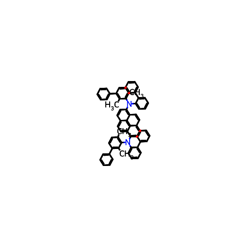 Cc1ccc(-c2ccccc2)c(C)c1N(c1ccccc1-c1ccccc1)c1ccc2ccc3c(N(c4ccccc4-c4ccccc4)c4c(C)ccc(-c5ccccc5)c4C)ccc4ccc1c2c43